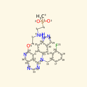 CS(=O)(=O)CCNCCOc1cc2c(N(Cc3cccc(F)c3)c3ccc4[nH]ncc4c3)ncnc2cn1